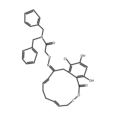 O=C1OCC/C=C/CC/C=C/C(=N/OCC(=O)N(Cc2ccccc2)Cc2ccccc2)Cc2c(Cl)c(O)cc(O)c21